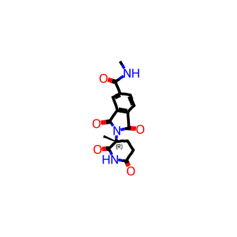 CNC(=O)c1ccc2c(c1)C(=O)N([C@]1(C)CCC(=O)NC1=O)C2=O